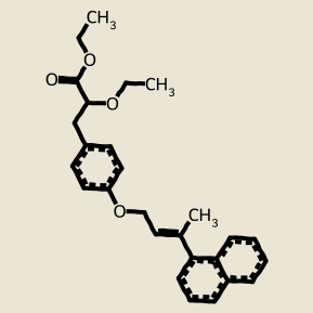 CCOC(=O)C(Cc1ccc(OC/C=C(\C)c2cccc3ccccc23)cc1)OCC